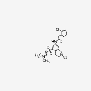 CCN1CCc2c(cc(NC(=O)Cc3ccccc3Cl)cc2S(=O)(=O)/N=C/N(C)C)C1